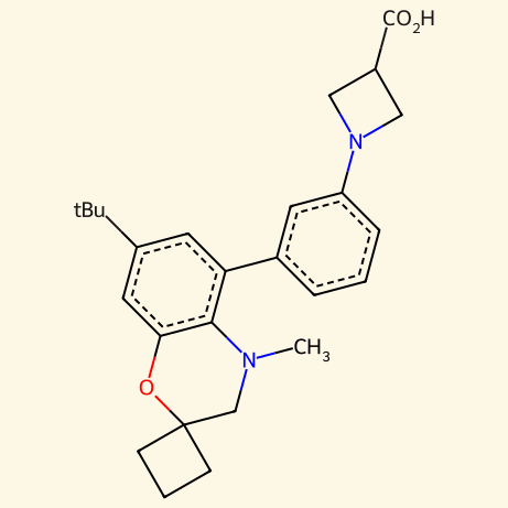 CN1CC2(CCC2)Oc2cc(C(C)(C)C)cc(-c3cccc(N4CC(C(=O)O)C4)c3)c21